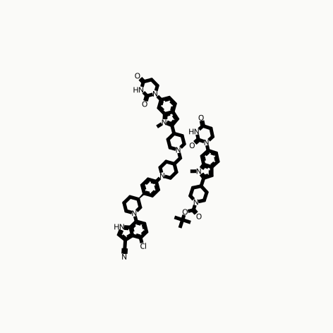 Cn1c(C2CCN(C(=O)OC(C)(C)C)CC2)cc2ccc(N3CCC(=O)NC3=O)cc21.Cn1c(C2CCN(CC3CCN(c4ccc([C@@H]5CCCN(c6ccc(Cl)c7c(C#N)c[nH]c67)C5)cc4)CC3)CC2)cc2ccc(N3CCC(=O)NC3=O)cc21